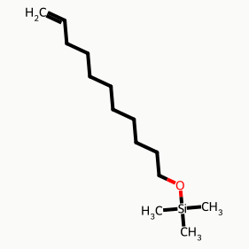 C=CCCCCCCCCCO[Si](C)(C)C